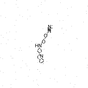 [N-]=[N+]=NCCOCCOCCNc1ccc(-c2ccc3ccccc3n2)cc1